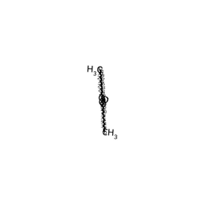 CCCCCCCCCCCCCCOOC(=O)OCCCCCCCCCCCCCC